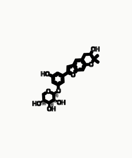 CC1(C)Oc2cc3oc(-c4cc(O)cc(O[C@@H]5OC[C@@H](O)[C@H](O)[C@H]5O)c4)cc3cc2CC1O